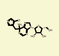 NC1(Cc2cscc2Cl)N=CN=C2C1=NCN2[C@@H]1O[C@H](CO)[C@@H](O)[C@H]1O